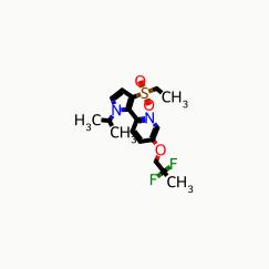 CCS(=O)(=O)c1ccn(C(C)C)c1-c1ccc(OCC(C)(F)F)cn1